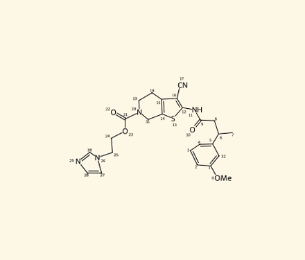 COc1cccc(C(C)CC(=O)Nc2sc3c(c2C#N)CCN(C(=O)OCCn2ccnc2)C3)c1